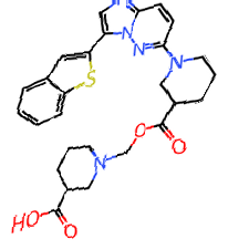 O=C(O)C1CCCN(COC(=O)C2CCCN(c3ccc4ncc(-c5cc6ccccc6s5)n4n3)C2)C1